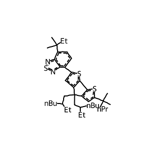 CCCCC(CC)CC1(CC(CC)CCCC)c2cc(-c3ccc(C(C)(C)CC)c4nsnc34)sc2-c2sc(C(C)(C)CCC)cc21